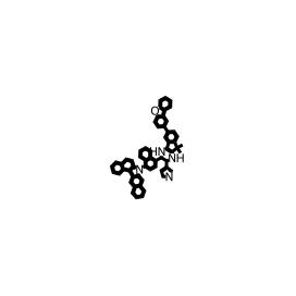 CC1(C)C2=C(NC(c3ccc(-n4c5cc6ccccc6cc5c5c6ccccc6ccc54)c4ccccc34)C(C3=CCN=C3)N2)c2cc(-c3ccc4oc5ccccc5c4c3)ccc21